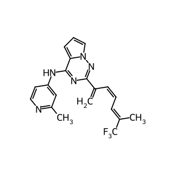 C=C(/C=C\C=C(/C)C(F)(F)F)c1nc(Nc2ccnc(C)c2)c2cccn2n1